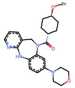 CC(C)O[C@H]1CC[C@H](C(=O)N2Cc3cccnc3Nc3ccc(N4CCOCC4)cc32)CC1